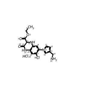 CCOC(=O)C1Nc2cc(-n3ccc(CN)c3)c(Cl)cc2NC1=O.Cl